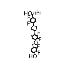 CCCC(O)c1ccc(C2CC=C(c3ccc(OCc4ccc(O)c(F)c4F)c(F)c3F)CC2)c(F)c1F